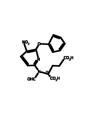 O=CN(c1ccc([N+](=O)[O-])c(Oc2ccccc2)n1)[C@@H](CCC(=O)O)C(=O)O